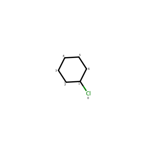 ClC1[CH]CCCC1